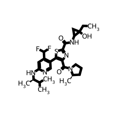 CCC1(O)CC1NC(=O)c1nc(C(=O)N2CCC[C@@H]2C)c(-c2cnc(N[C@H](C)C(C)C)cc2C(F)F)s1